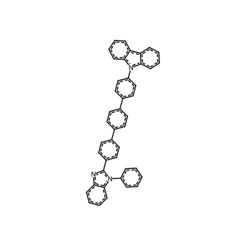 c1ccc(-n2c(-c3ccc(-c4ccc(-c5ccc(-n6c7ccccc7c7ccccc76)cc5)cc4)cc3)nc3ccccc32)cc1